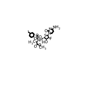 COC(=O)[C@H](C)NP(=O)(OC[C@H]1S[C@@H](n2ccc(N)nc2=O)[C@@H](F)[C@@H]1O)Oc1ccc(I)cc1